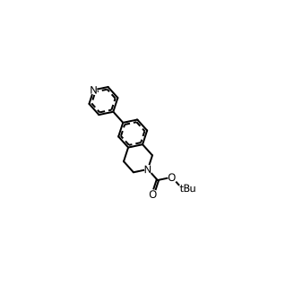 CC(C)(C)OC(=O)N1CCc2cc(-c3ccncc3)ccc2C1